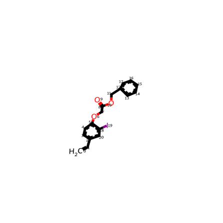 C=Cc1ccc(OCC(=O)OCc2ccccc2)c(I)c1